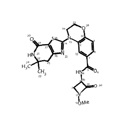 CON1C[C@@H](NC(=O)c2ccc3c(c2)N(c2nc4c(s2)C(=O)NC(C)(C)C4)CCO3)C1=O